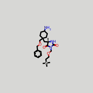 C[C@@]1(CC2(COCc3ccccc3)CCC(N)CC2)NC(=O)N(COCC[Si](C)(C)C)C1=O